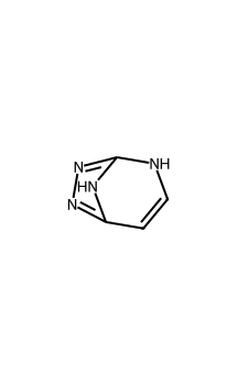 C1=Cc2nnc([nH]2)N1